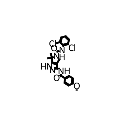 COc1ccc(C(=O)Nc2n[nH]c3c2CN(C(=O)Nc2c(Cl)cccc2Cl)C3(C)C)cc1